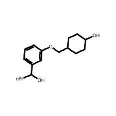 CCCC(O)c1cccc(OCC2CCC(O)CC2)c1